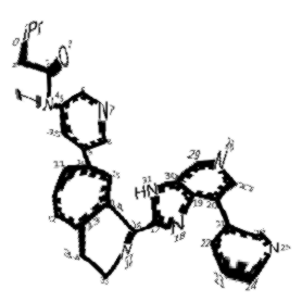 CC(C)CC(=O)Nc1cncc(-c2ccc3c(c2)C(c2nc4c(-c5cccnc5)cncc4[nH]2)=NCC3)c1